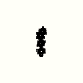 c1ccc2cc(-c3ccc(N4CCOCC4)cc3)ccc2c1